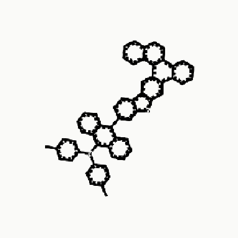 Cc1ccc(N(c2ccc(C)cc2)c2c3ccccc3c(-c3ccc4c(c3)sc3cc5c6ccccc6c6ccc7ccccc7c6c5cc34)c3ccccc23)cc1